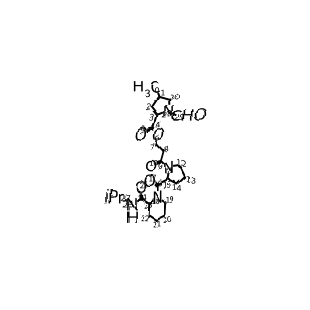 CC1CC(C(=O)OCCC(=O)N2CCCC2C(=O)N2CCCCC2C(=O)NC(C)C)N(C=O)C1